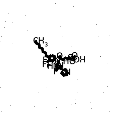 CCCCCCCCc1ccc(N(C(=O)CCCOP(=O)(O)O)c2nc(-c3cccnc3)c(F)[nH]2)cc1C(F)(F)F